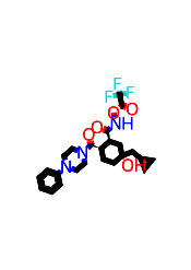 O=C(NOC(=O)C(F)(F)F)[C@H]1C[C@](O)(CC2CC2)CC[C@@H]1C(=O)N1CCN(c2ccccc2)CC1